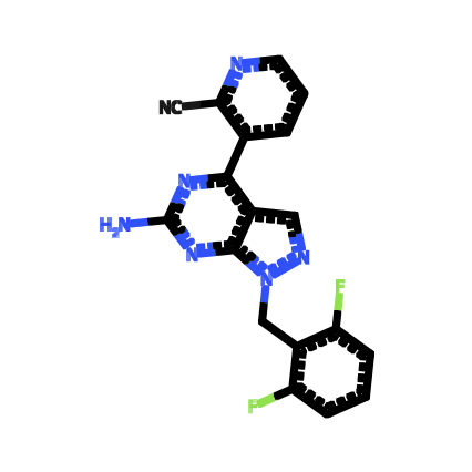 N#Cc1ncccc1-c1nc(N)nc2c1cnn2Cc1c(F)cccc1F